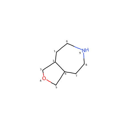 C1CC2COCC2CCN1